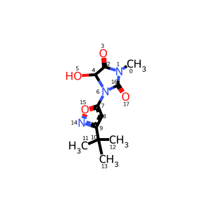 CN1C(=O)C(O)N(c2cc(C(C)(C)C)no2)C1=O